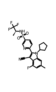 Cc1cc(F)c2c(C#N)c(-c3ccc(S(=O)(=O)N[C@@H](C)C(F)(F)F)cn3)n(C3CCCC3)c2c1